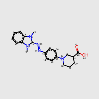 CN1c2ccccc2N(C)C1N=Nc1ccc(N2CCCC(C(=O)O)C2)cc1